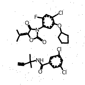 C#CC(C)(C)NC(=O)c1cc(Cl)cc(Cl)c1.CC(C)=C1OC(=O)N(c2cc(OC3CCCC3)c(Cl)cc2F)C1=O